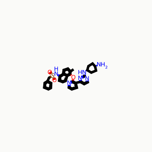 Cc1ccc2c(NS(=O)(=O)Cc3ccccc3)cccc2c1Oc1ncccc1-c1ccnc(N[C@H]2CC[C@H](N)CC2)n1